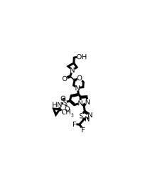 CC1(NS(=O)(=O)c2cc(N3CCO[C@H](C(=O)N4CC(CO)C4)C3)c3cnc(-c4nnc(C(F)F)s4)n3c2)CC1